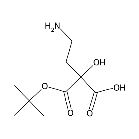 CC(C)(C)OC(=O)C(O)(CCN)C(=O)O